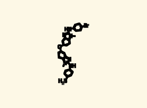 Bc1ccc(Nc2nc3cc(Oc4ccc5c(c4)nc(Nc4ccc(Br)cc4)n5C)ccc3n2C)cc1